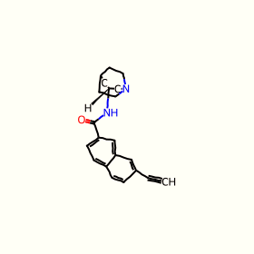 C#Cc1ccc2ccc(C(=O)N[C@@H]3CC4CCN(CC4)C3)cc2c1